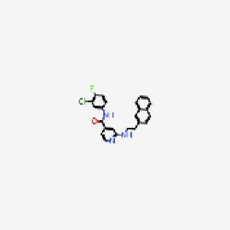 O=C(Nc1ccc(F)c(Cl)c1)c1ccnc(NCCc2ccc3ccccc3c2)c1